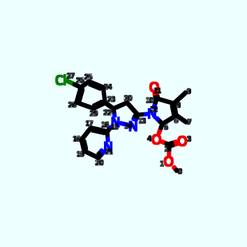 COC(=O)OC1C(C)=C(C)C(=O)N1C1=NN(c2ccccn2)C(c2ccc(Cl)cc2)C1